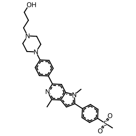 Cc1nc(-c2ccc(N3CCN(CCCO)CC3)cc2)cc2c1cc(-c1ccc(S(C)(=O)=O)cc1)n2C